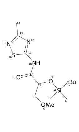 COCC(O[Si](C)(C)C(C)(C)C)C(=O)Nc1nc(C)ns1